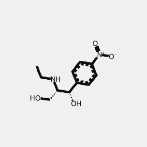 CCN[C@@H](CO)[C@@H](O)c1ccc([N+](=O)[O-])cc1